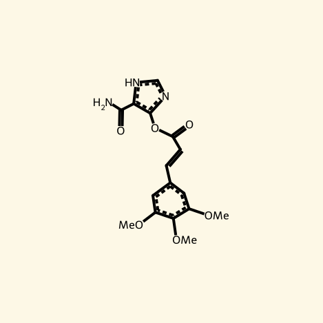 COc1cc(C=CC(=O)Oc2nc[nH]c2C(N)=O)cc(OC)c1OC